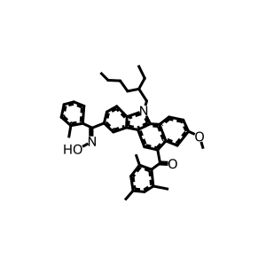 CCCCC(CC)Cn1c2ccc(C(=NO)c3ccccc3C)cc2c2cc(C(=O)c3c(C)cc(C)cc3C)c3cc(OC)ccc3c21